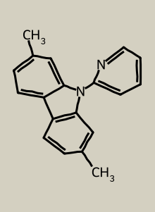 Cc1ccc2c3ccc(C)cc3n(-c3ccccn3)c2c1